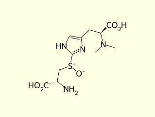 CN(C)[C@@H](Cc1c[nH]c([S+]([O-])C[C@H](N)C(=O)O)n1)C(=O)O